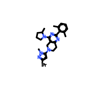 Cc1cccc(C)c1-c1nc2c(c(N3CCCC3C)n1)CN(c1cc(C(C)C)nn1C)CC2